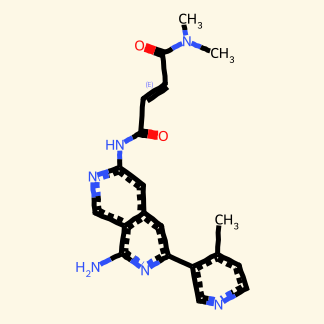 Cc1ccncc1-c1cc2cc(NC(=O)/C=C/C(=O)N(C)C)ncc2c(N)n1